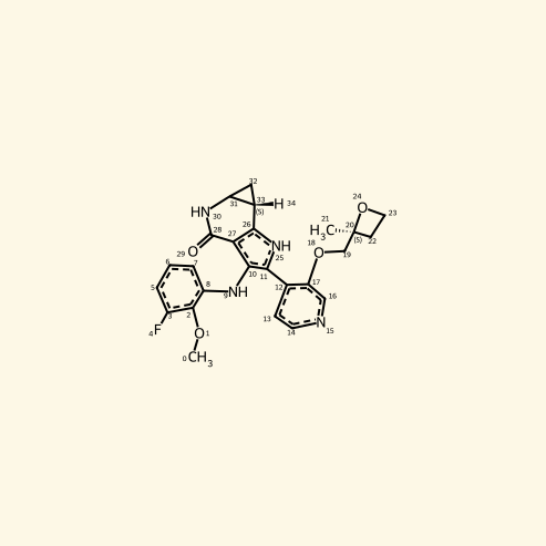 COc1c(F)cccc1Nc1c(-c2ccncc2OC[C@]2(C)CCO2)[nH]c2c1C(=O)NC1C[C@H]21